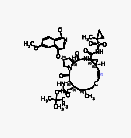 COc1ccc2c(Cl)ncc(O[C@@H]3C[C@H]4C(=O)N[C@]5(C(=O)NS(=O)(=O)C6(C)CC6)C[C@H]5/C=C\CC[C@@H](C)C[C@@H](C)[C@H](NC(=O)OC(C)(C)C)C(=O)N4C3)c2c1